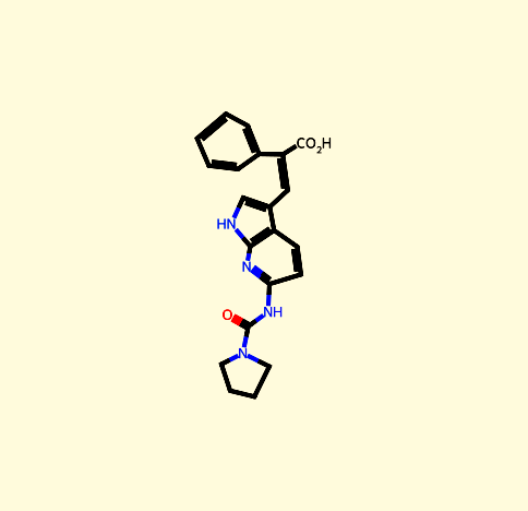 O=C(O)C(=Cc1c[nH]c2nc(NC(=O)N3CCCC3)ccc12)c1ccccc1